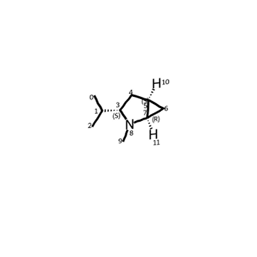 CC(C)[C@@H]1C[C@H]2C[C@H]2N1C